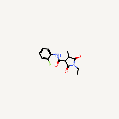 CCN1C(=O)C(C)C(C(=O)Nc2ccccc2F)C1=O